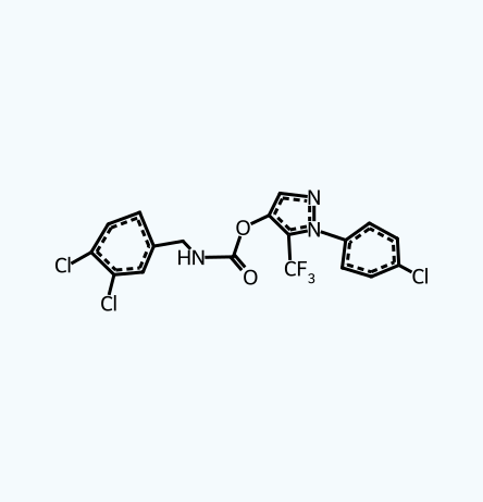 O=C(NCc1ccc(Cl)c(Cl)c1)Oc1cnn(-c2ccc(Cl)cc2)c1C(F)(F)F